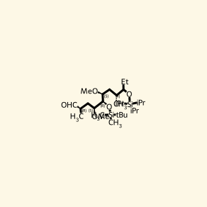 CCC(O[Si](C(C)C)(C(C)C)C(C)C)[C@H](C)C[C@H](OC)[C@@H](O[Si](C)(C)C(C)(C)C)[C@H](C[C@@H](C)C=O)OC